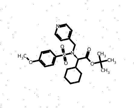 COc1ccc(S(=O)(=O)N(Cc2ccncc2)[C@@H](C(=O)OC(C)(C)C)C2CCCCC2)cc1